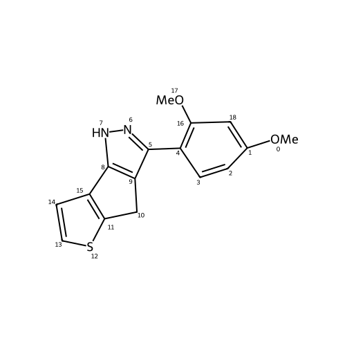 COc1ccc(-c2n[nH]c3c2Cc2sccc2-3)c(OC)c1